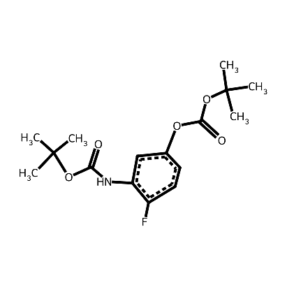 CC(C)(C)OC(=O)Nc1cc(OC(=O)OC(C)(C)C)ccc1F